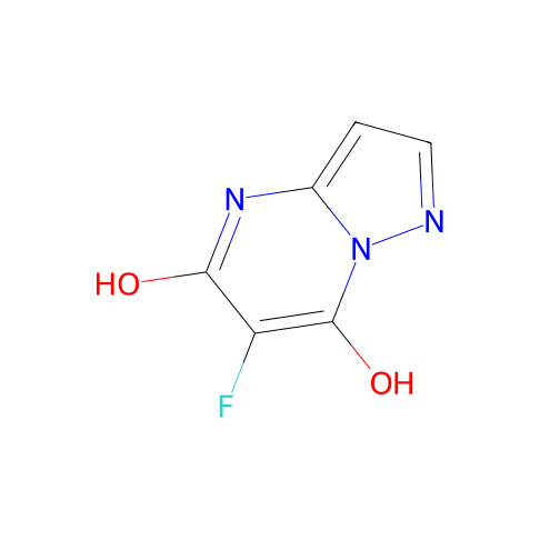 Oc1nc2ccnn2c(O)c1F